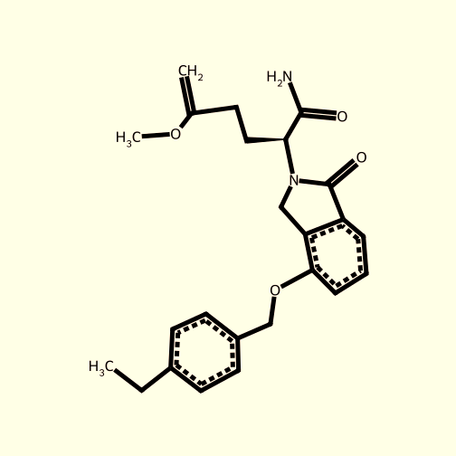 C=C(CC[C@@H](C(N)=O)N1Cc2c(OCc3ccc(CC)cc3)cccc2C1=O)OC